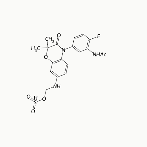 CC(=O)Nc1cc(N2C(=O)C(C)(C)Oc3cc(NCO[SH](=O)=O)ccc32)ccc1F